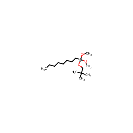 CCCCCCCC[Si](OC)(OC)OCC(C)(C)C